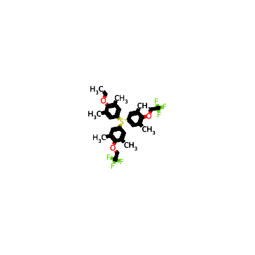 CCOc1c(C)cc([S+](c2cc(C)c(OCC(F)(F)F)c(C)c2)c2cc(C)c(OCC(F)(F)F)c(C)c2)cc1C